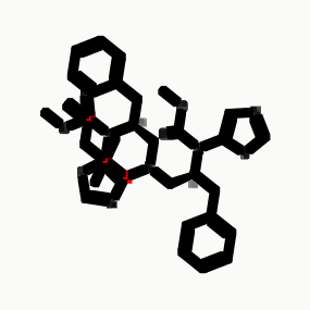 C=CCC(C)(C)CN(C[C@H](Cc1ccccc1)N(C(=O)OC)c1cncs1)C[C@H](Cc1ccccc1)N(C(=O)OC)c1cncs1